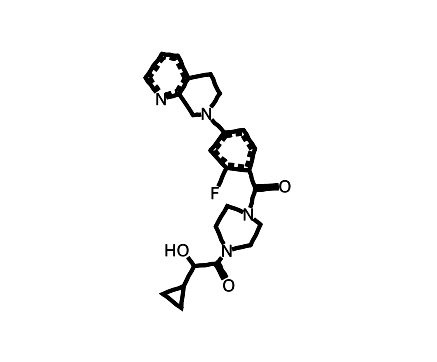 O=C(c1ccc(N2CCc3cccnc3C2)cc1F)N1CCN(C(=O)C(O)C2CC2)CC1